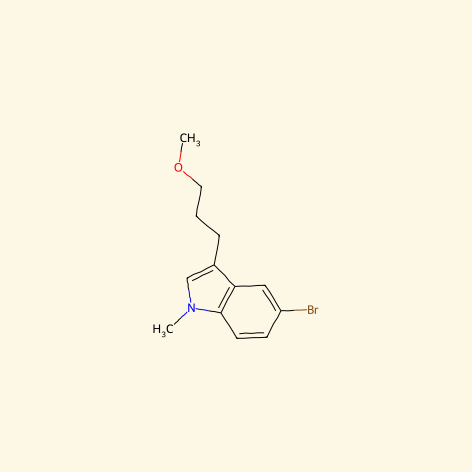 COCCCc1cn(C)c2ccc(Br)cc12